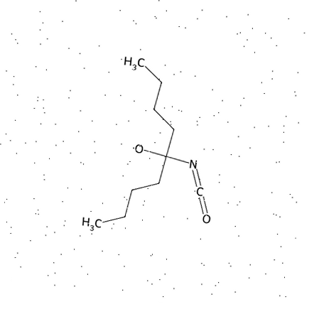 CCCCC([O])(CCCC)N=C=O